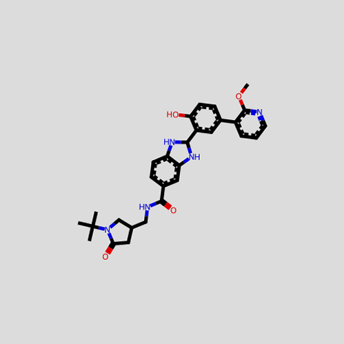 COc1ncccc1-c1ccc(O)c(C2Nc3ccc(C(=O)NCC4CC(=O)N(C(C)(C)C)C4)cc3N2)c1